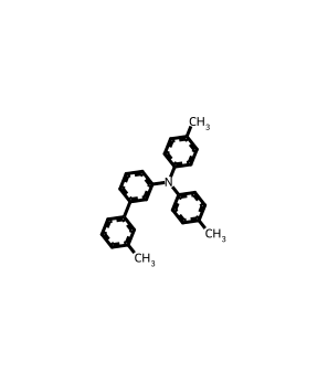 Cc1ccc(N(c2ccc(C)cc2)c2cccc(-c3cccc(C)c3)c2)cc1